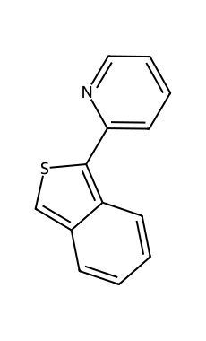 c1ccc(-c2scc3ccccc23)nc1